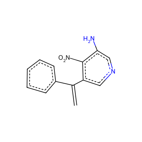 C=C(c1ccccc1)c1cncc(N)c1[N+](=O)[O-]